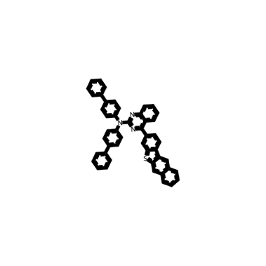 c1ccc(-c2ccc(N(c3ccc(-c4ccccc4)cc3)c3nc(-c4ccc5c(c4)sc4cc6ccccc6cc45)c4ccccc4n3)cc2)cc1